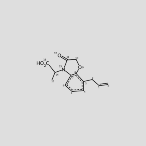 C=CCc1cccc2c1OCC(=O)N2C(C)C(=O)O